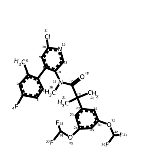 Cc1cc(F)ccc1-c1cc(Cl)ncc1N(C)C(=O)C(C)(C)c1cc(OC(F)F)cc(OC(F)F)c1